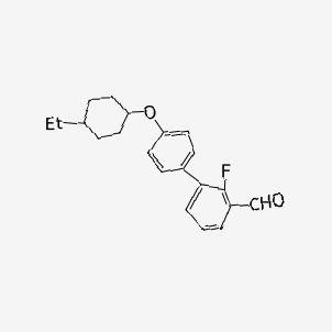 CCC1CCC(Oc2ccc(-c3cccc(C=O)c3F)cc2)CC1